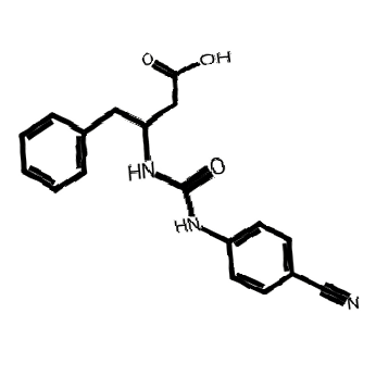 N#Cc1ccc(NC(=O)NC(CC(=O)O)Cc2ccccc2)cc1